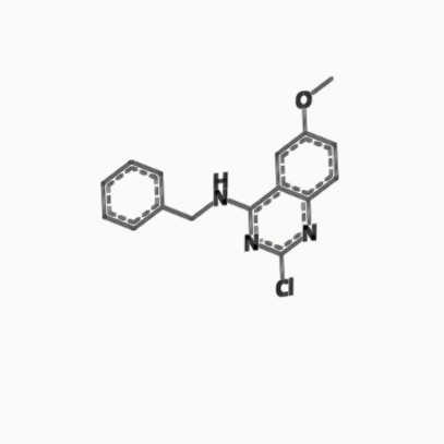 COc1ccc2nc(Cl)nc(NCc3ccccc3)c2c1